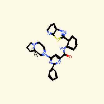 O=C(Nc1ccccc1-c1nc2cccnc2s1)c1cc(N2CCN3CCC[C@H]3C2)nc(-c2ccccc2)n1